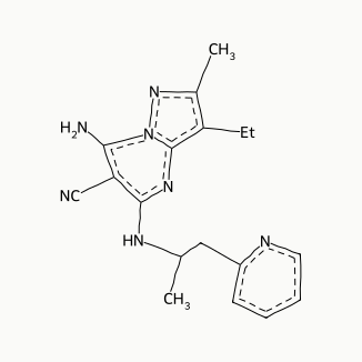 CCc1c(C)nn2c(N)c(C#N)c(NC(C)Cc3ccccn3)nc12